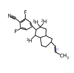 [2H]C1C2CCC(/C=C/C)CC2CC([2H])([2H])C1c1cc(F)c(C#N)c(F)c1